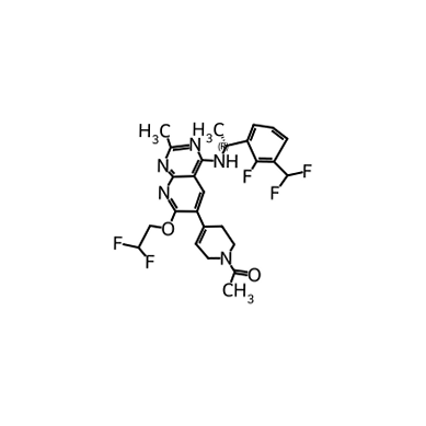 CC(=O)N1CC=C(c2cc3c(N[C@H](C)c4cccc(C(F)F)c4F)nc(C)nc3nc2OCC(F)F)CC1